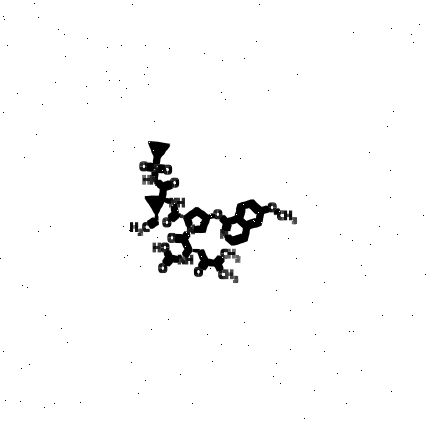 C=C[C@@H]1C[C@]1(NC(=O)[C@@H]1C[C@@H](Oc2nccc3cc(OC)ccc23)CN1C(=O)[C@H](CC(=O)C(=C)C)NC(=O)O)C(=O)NS(=O)(=O)C1CC1